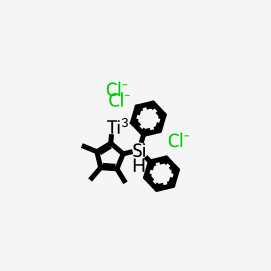 CC1=C(C)C([SiH](c2ccccc2)c2ccccc2)[C]([Ti+3])=C1C.[Cl-].[Cl-].[Cl-]